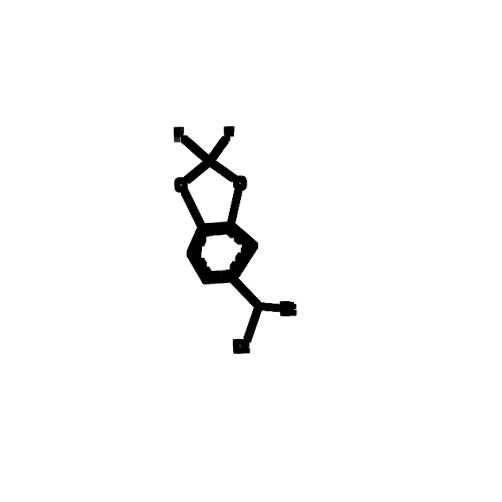 CCC(CC)c1ccc2c(c1)OC(F)(F)O2